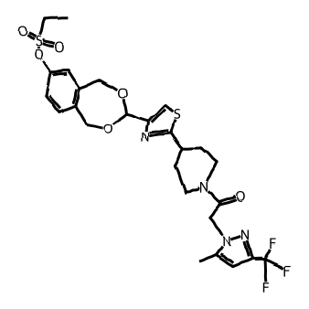 CCS(=O)(=O)Oc1ccc2c(c1)COC(c1csc(C3CCN(C(=O)Cn4nc(C(F)(F)F)cc4C)CC3)n1)OC2